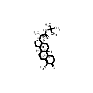 C[C@H](C(=O)NC(C)(C)C)[C@H]1CC[C@H]2[C@@H]3CCC4=C(N)C(=O)CC[C@]4(C)[C@H]3CC[C@]12C